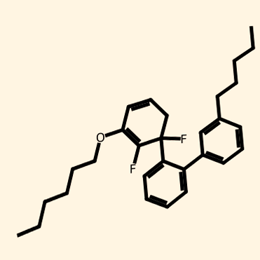 CCCCCCOC1=C(F)C(F)(c2ccccc2-c2cccc(CCCCC)c2)CC=C1